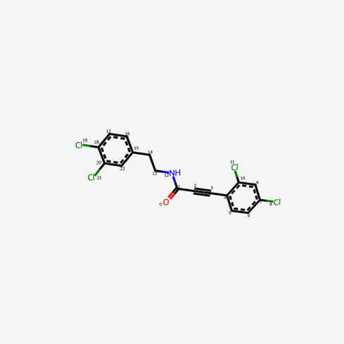 O=C(C#Cc1ccc(Cl)cc1Cl)NCCc1ccc(Cl)c(Cl)c1